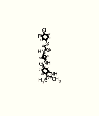 CC1Nc2cc(C(=O)NC34CC(NC(=O)COc5ccc(Cl)c(F)c5)(C3)C4)ccc2N1C